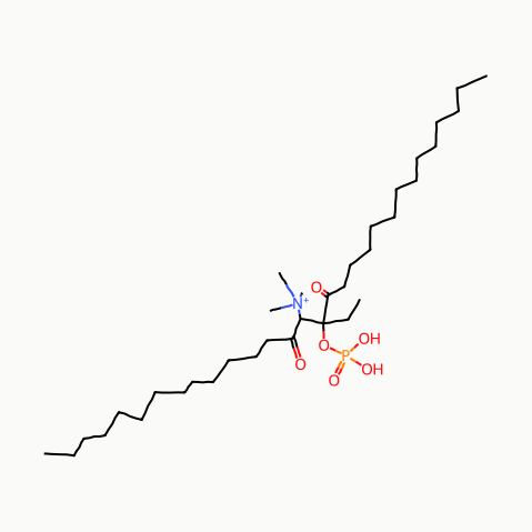 CCCCCCCCCCCCCC(=O)C(C(CC)(OP(=O)(O)O)C(=O)CCCCCCCCCCCCC)[N+](C)(C)C